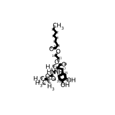 CCCCCCCC(=O)OCCOC(=O)[C@](C)(Cc1ccc(O)c(O)c1)NNC(=O)OC(C)(C)C